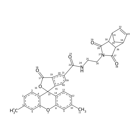 Cc1ccc2c(c1)Oc1cc(C)ccc1C21OC(=O)c2cc(C(=O)NCCN3C(=O)C4C5C=CC(C5)C4C3=O)ccc21